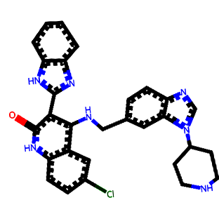 O=c1[nH]c2ccc(Cl)cc2c(NCc2ccc3ncn(C4CCNCC4)c3c2)c1-c1nc2ccccc2[nH]1